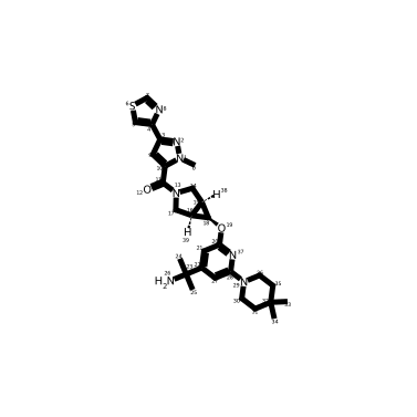 Cn1nc(-c2cscn2)cc1C(=O)N1C[C@@H]2[C@H](C1)[C@@H]2Oc1cc(C(C)(C)N)cc(N2CCC(C)(C)CC2)n1